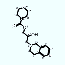 O=C(OCC(O)CN1CCc2ccccc2C1)N1CCSCC1